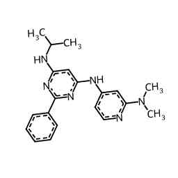 CC(C)Nc1cc(Nc2ccnc(N(C)C)c2)nc(-c2ccccc2)n1